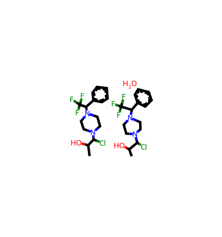 CC(O)C(Cl)N1CCN(C(c2ccccc2)C(F)(F)F)CC1.CC(O)C(Cl)N1CCN(C(c2ccccc2)C(F)(F)F)CC1.O